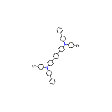 CCc1ccc(N(c2ccc(-c3ccccc3)cc2)c2ccc(-c3ccc(-c4ccc(N(c5ccc(CC)cc5)c5ccc(-c6ccccc6)cc5)cc4)cc3)cc2)cc1